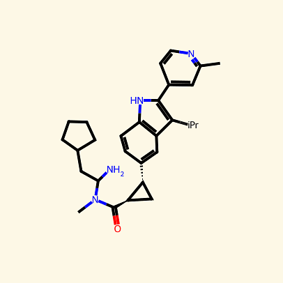 Cc1cc(-c2[nH]c3ccc([C@@H]4C[C@H]4C(=O)N(C)C(N)CC4CCCC4)cc3c2C(C)C)ccn1